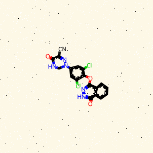 N#CC1=NN(c2cc(Cl)c(Oc3n[nH]c(=O)c4ccccc34)c(Cl)c2)CNC1=O